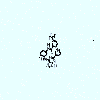 Cc1ccc(NC(=O)c2cccc(C(F)(F)F)c2)cc1Nc1nc(-c2cccnc2)nc2[nH]cnc12